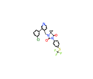 O=C1N(c2ccc(SC(F)(F)F)cc2)C(=O)C2(CC2)N1Cc1ccncc1-c1cccc(Cl)c1